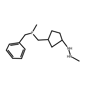 CNNC1CCC(CP(C)Cc2ccccc2)C1